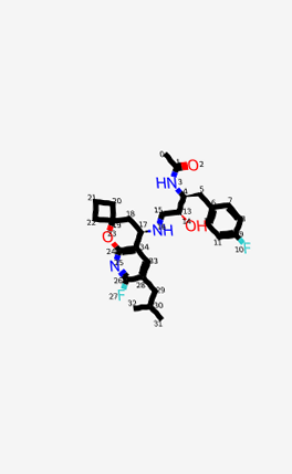 CC(=O)N[C@@H](Cc1ccc(F)cc1)[C@H](O)CN[C@H]1CC2(CCC2)Oc2nc(F)c(CC(C)C)cc21